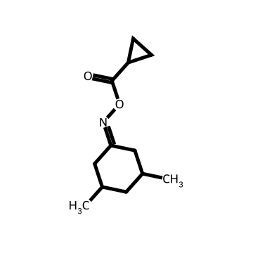 CC1CC(=NOC(=O)C2CC2)CC(C)C1